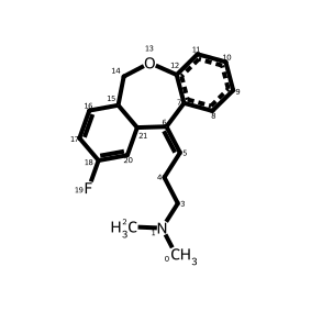 CN(C)CC/C=C1/c2ccccc2OCC2C=CC(F)=CC12